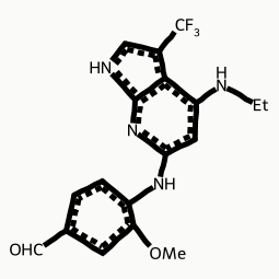 CCNc1cc(Nc2ccc(C=O)cc2OC)nc2[nH]cc(C(F)(F)F)c12